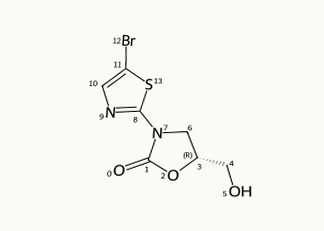 O=C1O[C@@H](CO)CN1c1ncc(Br)s1